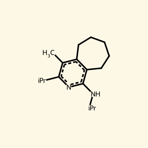 Cc1c(C(C)C)nc(NC(C)C)c2c1CCCCC2